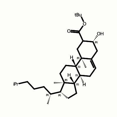 CC(C)CCC[C@@H](C)[C@H]1CC[C@H]2[C@@H]3CC=C4C[C@@H](O)C(C(=O)OC(C)(C)C)C[C@]4(C)[C@H]3CC[C@]12C